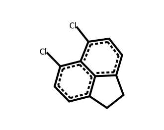 Clc1ccc2c3c(ccc(Cl)c13)CC2